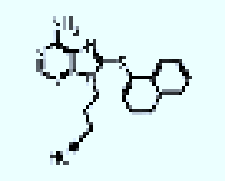 C#CCCCn1c(Sc2cccc3ccccc23)nc2c(N)ncnc21